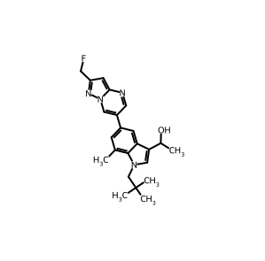 Cc1cc(-c2cnc3cc(CF)nn3c2)cc2c(C(C)O)cn(CC(C)(C)C)c12